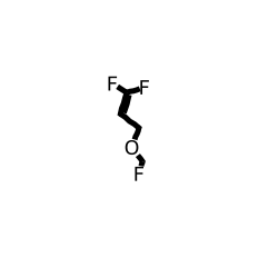 FCOCC=C(F)F